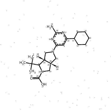 CC(C)(C)C1[C@@H]2CN(c3cc(C4CCCCC4)nc(N)n3)C[C@@H]2CN1C(=O)O